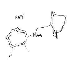 Cc1c(F)cccc1NCC1=NCCN1.Cl